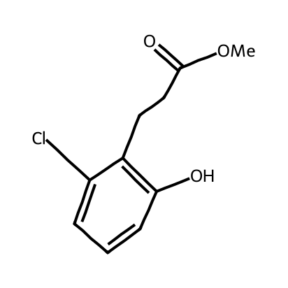 COC(=O)CCc1c(O)cccc1Cl